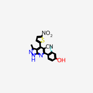 Cc1n[nH]c2nc(-c3ccc(O)cc3F)c(C#N)c(-c3ccc([N+](=O)[O-])s3)c12